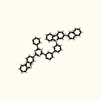 c1ccc(-c2nc(-c3cccc(-c4cccc(-n5c6ccccc6c6ccc(-c7ccc8ccccc8c7)cc65)c4)c3)nc(-c3ccc4c(c3)oc3ccccc34)n2)cc1